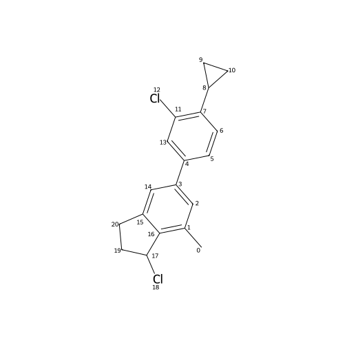 Cc1cc(-c2ccc(C3CC3)c(Cl)c2)cc2c1C(Cl)CC2